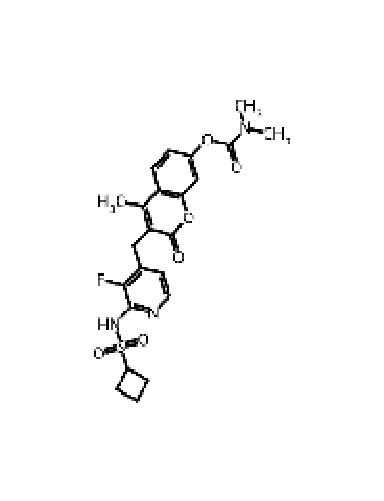 Cc1c(Cc2ccnc(NS(=O)(=O)C3CCC3)c2F)c(=O)oc2cc(OC(=O)N(C)C)ccc12